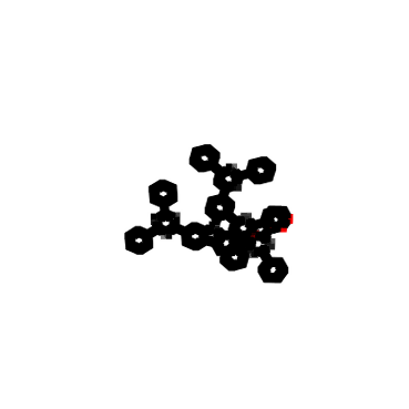 c1ccc(-c2cc(-c3ccc(-n4c5cc(-c6nc(-c7ccccc7)nc(-c7ccccc7)n6)ccc5c5ccc(-c6nc(-c7ccccc7)nc(-c7ccccc7)n6)cc54)c(-c4cc(-c5ccccc5)nc(-c5ccccc5)n4)c3)nc(-c3ccccc3)n2)cc1